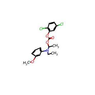 CCN(c1cccc(OC)c1)C(C)OC(=O)Oc1cc(Cl)ccc1Cl